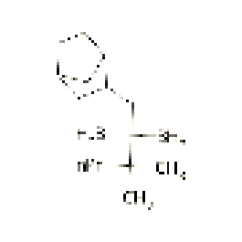 BC(B)(CC1CC2CCC1C2)C(C)(C)CCC